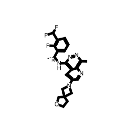 Cc1nnc(N[C@H](C)c2cccc(C(F)F)c2F)c2cc(N3CC4(CCOC4)C3)cnc12